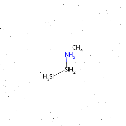 C.N[SiH2][SiH3]